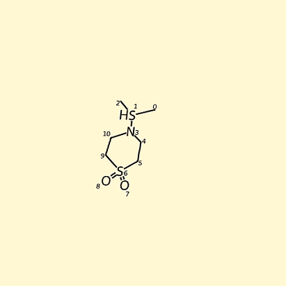 C[SH](C)N1CCS(=O)(=O)CC1